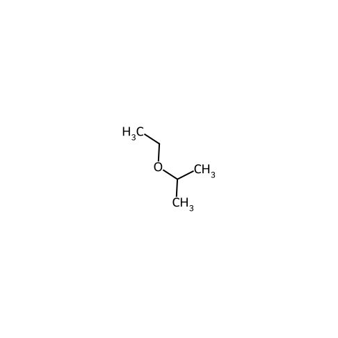 CCOC(C)C